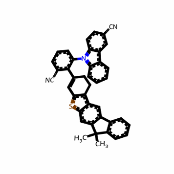 CC1(C)c2ccccc2-c2cc3c4c(sc3cc21)C=C(c1c(C#N)cccc1-n1c2ccccc2c2cc(C#N)ccc21)CC4